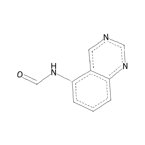 O=CNc1cccc2ncncc12